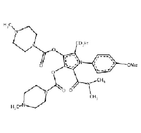 CCOC(=O)c1c(OC(=O)N2CCN(C)CC2)c(OC(=O)N2CCN(C)CC2)c(C(=O)N(C)C)n1-c1ccc(OC)cc1